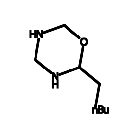 CCCCCC1NCNCO1